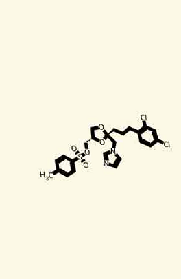 Cc1ccc(S(=O)(=O)OC[C@@H]2CO[C@](CCCc3ccc(Cl)cc3Cl)(Cn3ccnc3)O2)cc1